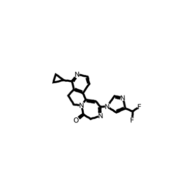 O=C1CN=C(n2cnc(C(F)F)c2)C=C2c3ccnc(C4CC4)c3CCN12